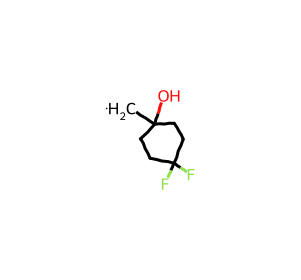 [CH2]C1(O)CCC(F)(F)CC1